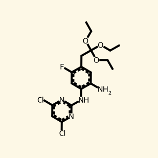 CCOC(Cc1cc(N)c(Nc2nc(Cl)cc(Cl)n2)cc1F)(OCC)OCC